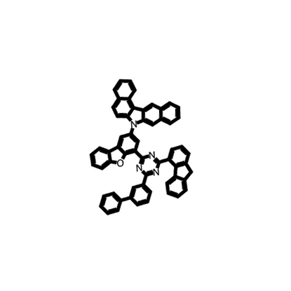 c1ccc(-c2cccc(-c3nc(-c4cccc5c4-c4ccccc4C5)nc(-c4cc(-n5c6cc7ccccc7cc6c6c7ccccc7ccc65)cc5c4oc4ccccc45)n3)c2)cc1